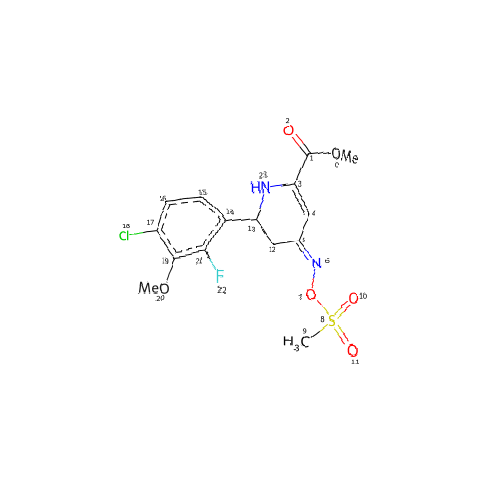 COC(=O)C1=CC(=NOS(C)(=O)=O)CC(c2ccc(Cl)c(OC)c2F)N1